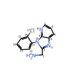 NCc1nc2cccnc2n1-c1ccccc1Cl